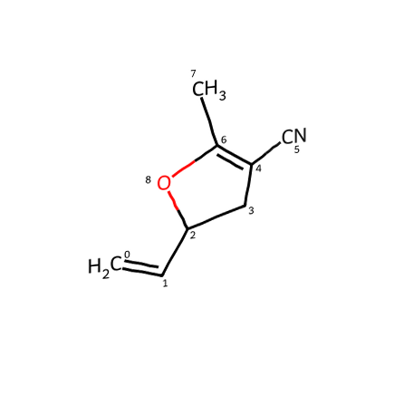 C=CC1CC(C#N)=C(C)O1